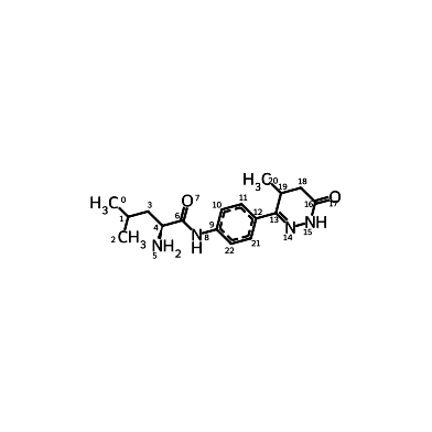 CC(C)C[C@H](N)C(=O)Nc1ccc(C2=NNC(=O)CC2C)cc1